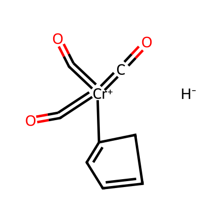 O=[C]=[Cr+](=[C]=O)(=[C]=O)[C]1=CC=CC1.[H-]